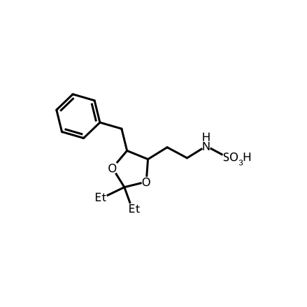 CCC1(CC)OC(CCNS(=O)(=O)O)C(Cc2ccccc2)O1